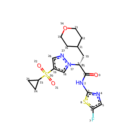 O=C(Nc1ncc(F)s1)[C@@H](CC1CCOCC1)n1cc(S(=O)(=O)C2CC2)cn1